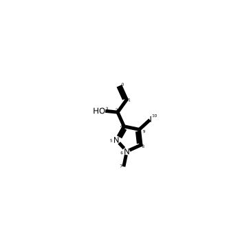 C=CC(O)c1nn(C)cc1I